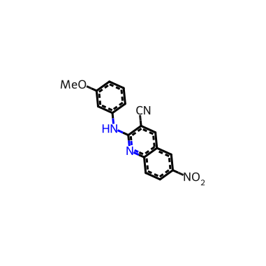 COc1cccc(Nc2nc3ccc([N+](=O)[O-])cc3cc2C#N)c1